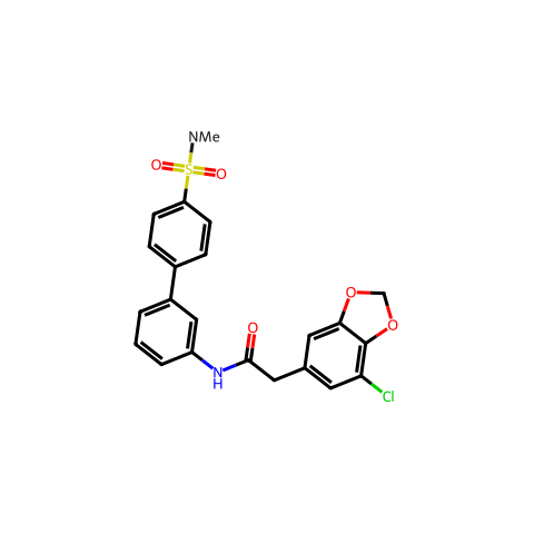 CNS(=O)(=O)c1ccc(-c2cccc(NC(=O)Cc3cc(Cl)c4c(c3)OCO4)c2)cc1